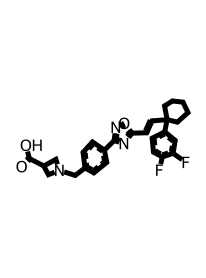 O=C(O)C1CN(Cc2ccc(-c3noc(/C=C/C4(c5ccc(F)c(F)c5)CCCCC4)n3)cc2)C1